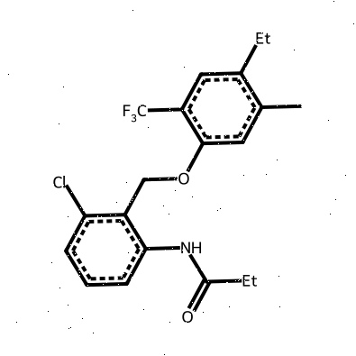 CCC(=O)Nc1cccc(Cl)c1COc1cc(C)c(CC)cc1C(F)(F)F